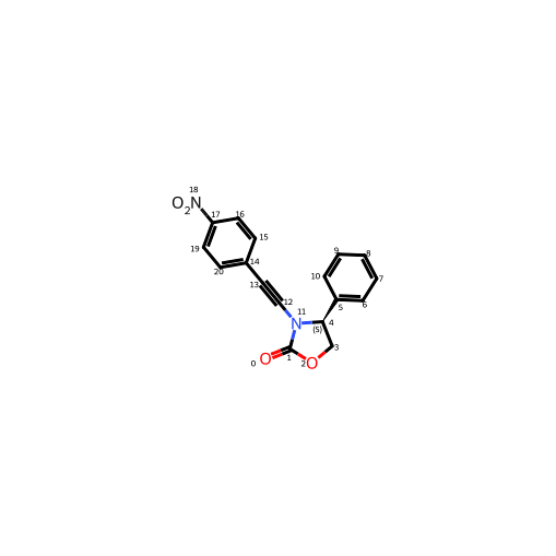 O=C1OC[C@H](c2ccccc2)N1C#Cc1ccc([N+](=O)[O-])cc1